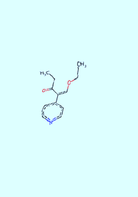 CCO/C=C(\C(=O)CC)c1ccncc1